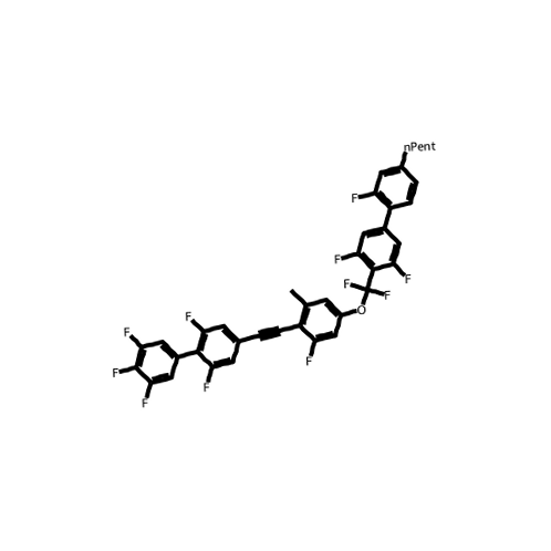 CCCCCc1ccc(-c2cc(F)c(C(F)(F)Oc3cc(C)c(C#Cc4cc(F)c(-c5cc(F)c(F)c(F)c5)c(F)c4)c(F)c3)c(F)c2)c(F)c1